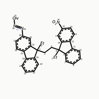 CCC1(CCC2(CC)c3ccccc3-c3ccc([N+](=O)[O-])cc32)c2ccccc2-c2ccc(/N=N/O)cc21